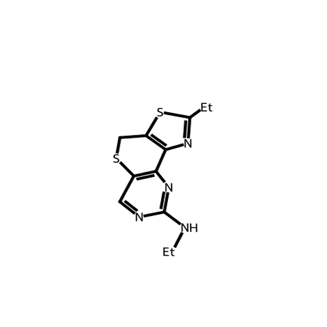 CCNc1ncc2c(n1)-c1nc(CC)sc1CS2